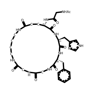 CC(=O)NCC(=O)N[C@H]1CCC(=O)NCCCCNC(=O)CNC(=O)CNC(=O)[C@@H](Cc2ccccc2)NC(=O)[C@H](Cc2c[nH]cn2)NC1=O